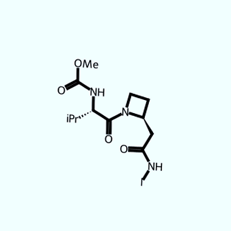 COC(=O)N[C@H](C(=O)N1CC[C@H]1CC(=O)NI)C(C)C